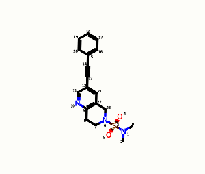 CN(C)S(=O)(=O)N1CCc2ncc(C#Cc3ccccc3)cc2C1